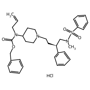 C=CCN(C(=O)OCc1ccccc1)C1CCN(CC[C@@H](CN(C)S(=O)(=O)c2ccccc2)c2ccccc2)CC1.Cl